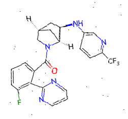 O=C(c1cccc(F)c1-c1ncccn1)N1C[C@H]2C[C@@H](Nc3ccc(C(F)(F)F)nc3)[C@@H]1C2